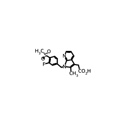 Cc1c(CC(=O)O)c2cccnc2n1Cc1ccc(S(C)(=O)=O)c(F)c1